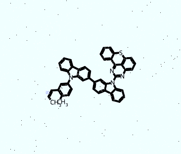 C/C=C\c1cc(-n2c3ccccc3c3ccc(-c4ccc5c6ccccc6n(-c6nc7c8c(cccc8n6)Sc6ccccc6-7)c5c4)cc32)ccc1C